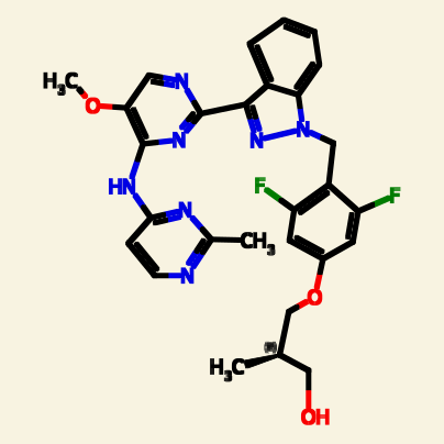 COc1cnc(-c2nn(Cc3c(F)cc(OC[C@H](C)CO)cc3F)c3ccccc23)nc1Nc1ccnc(C)n1